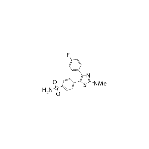 CNc1nc(-c2ccc(F)cc2)c(-c2ccc(S(N)(=O)=O)cc2)s1